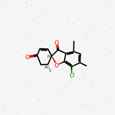 Cc1cc(C)c2c(c1Cl)O[C@@]1(C=CC(=O)C[C@H]1C)C2=O